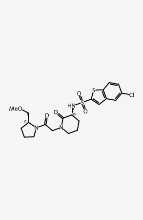 COC[C@@H]1CCCN1C(=O)CN1CCC[C@H](NS(=O)(=O)c2cc3cc(Cl)ccc3s2)C1=O